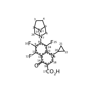 CN1C2CCC1CN(c1c(F)c(F)c3c(=O)c(C(=O)O)cn(C4CC4)c3c1F)C2